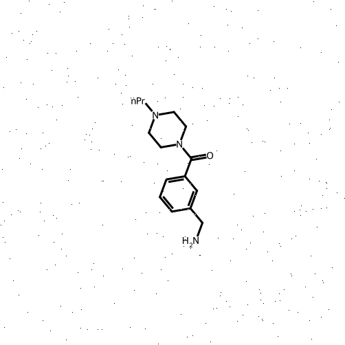 CCCN1CCN(C(=O)c2cccc(CN)c2)CC1